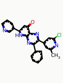 Cc1cc(-c2nc3c(=O)cc(-c4cccnc4)[nH]c3nc2-c2ccccc2)cc(Cl)n1